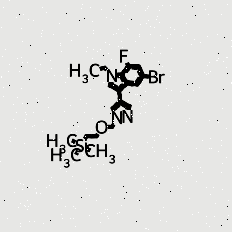 CCn1cc(-c2cnn(COCC[Si](C)(C)C)c2)c2cc(Br)cc(F)c21